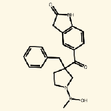 CB(O)N1CCC(Cc2ccccc2)(C(=O)c2ccc3c(c2)CC(=O)N3)C1